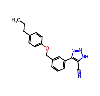 CCCc1ccc(OCc2cccc(-c3nn[nH]c3C#N)c2)cc1